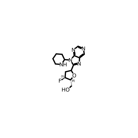 OC[C@H]1OC(c2nc3cncnc3n2C2CCCCN2)C[C@@H]1F